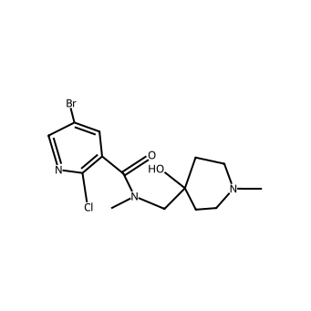 CN1CCC(O)(CN(C)C(=O)c2cc(Br)cnc2Cl)CC1